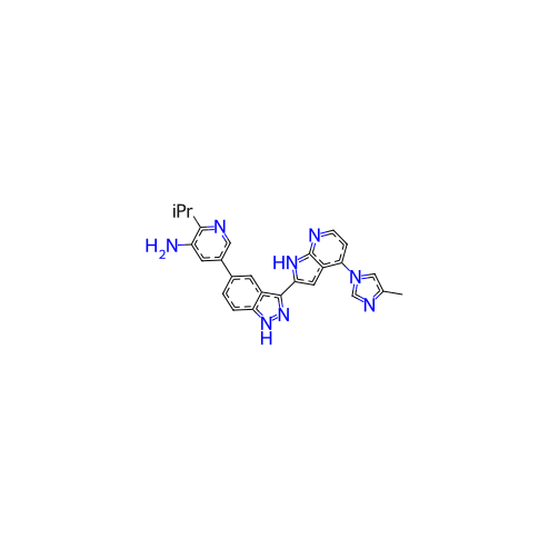 Cc1cn(-c2ccnc3[nH]c(-c4n[nH]c5ccc(-c6cnc(C(C)C)c(N)c6)cc45)cc23)cn1